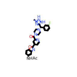 CC(=O)Nc1ccc2oc(-c3ccnc(C(=O)N4CCN([C@H](C5=NN(C)NN5)c5cccc(F)c5)CC4)c3)nc2c1